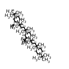 CC(C)(C)N1CCN(C(C)(C)CCC(C)(C)N2CCN(C(C)(C)CCC(C)(C)N3CCN(C(C)(C)C)C[C@H]3C#N)CC2C(F)(F)F)CC1